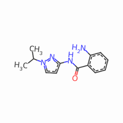 CC(C)n1ccc(NC(=O)c2ccccc2N)n1